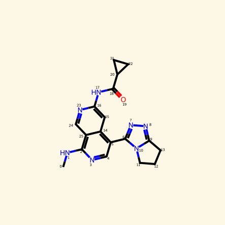 CNc1ncc(-c2nnc3n2CCC3)c2cc(NC(=O)C3CC3)ncc12